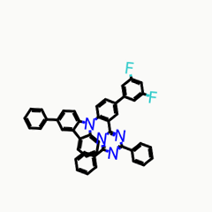 Fc1cc(F)cc(-c2ccc(-n3c4ccccc4c4cc(-c5ccccc5)ccc43)c(-c3nc(-c4ccccc4)nc(-c4ccccc4)n3)c2)c1